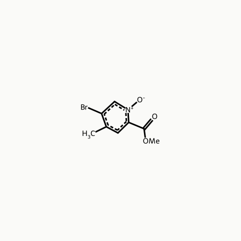 COC(=O)c1cc(C)c(Br)c[n+]1[O-]